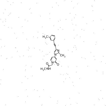 CNC(=O)Cn1ccc(-n2cc(C#Cc3cccc(C)c3)nc2C)cc1=O